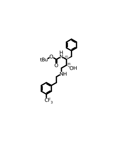 CC(C)(C)OC(=O)N[C@@H](Cc1ccccc1)[C@H](O)CNCCc1cccc(C(F)(F)F)c1